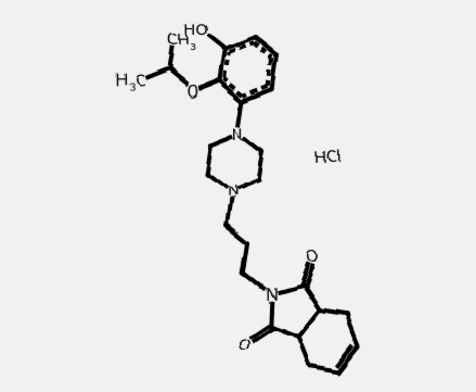 CC(C)Oc1c(O)cccc1N1CCN(CCCN2C(=O)C3CC=CCC3C2=O)CC1.Cl